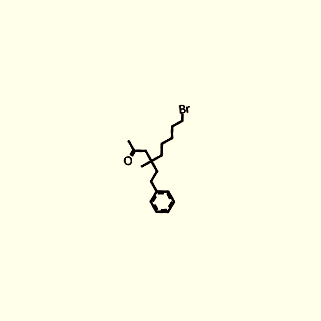 CC(=O)CC(C)(CCCCCBr)CCc1ccccc1